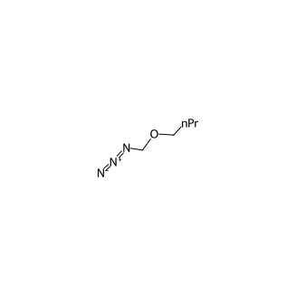 CCCCOCN=[N+]=[N-]